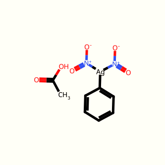 CC(=O)O.O=[N+]([O-])[Ag]([c]1ccccc1)[N+](=O)[O-]